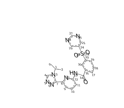 CC(C)n1cnnc1-c1cccc(NC(=O)c2cccc(S(=O)(=O)c3cncnc3)c2)n1